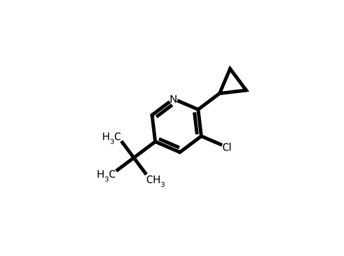 CC(C)(C)c1cnc(C2CC2)c(Cl)c1